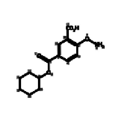 NOc1ccc(C(=O)OC2CCCCC2)cc1C(=O)O